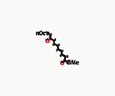 CCCCCCCCCC(=O)CCCC=CC=CC(=O)OC